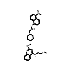 COCCNc1nc(NC[C@H]2CC[C@H](CNOc3cccc4c(N(C)C)cccc34)CC2)nc2ccccc12